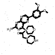 COc1ccc(-c2cnc3nc(N)nc([N+]4(C(=O)CN5CCNCC5)CCOCC4)c3n2)cc1OC